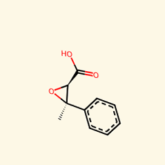 C[C@]1(c2ccccc2)O[C@H]1C(=O)O